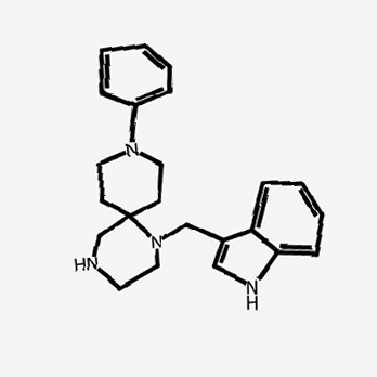 c1ccc(N2CCC3(CC2)CNCCN3Cc2c[nH]c3ccccc23)cc1